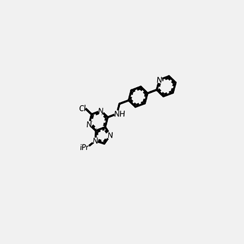 CC(C)n1cnc2c(NCc3ccc(-c4ccccn4)cc3)nc(Cl)nc21